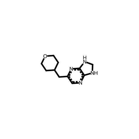 c1nc2c(nc1CC1CCOCC1)NCN2